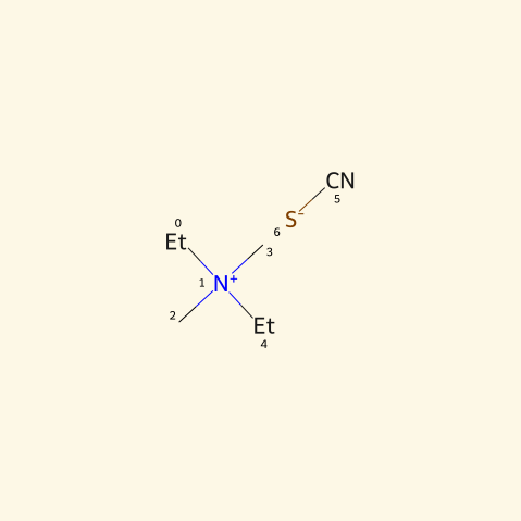 CC[N+](C)(C)CC.N#C[S-]